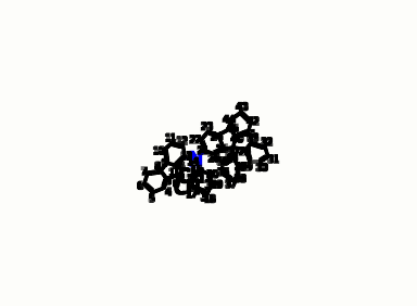 CC1(C)c2ccccc2-c2cccc(N(c3ccccc3)c3ccc4c(c3)C(c3ccccc3)(c3ccccc3)c3ccccc3-4)c21